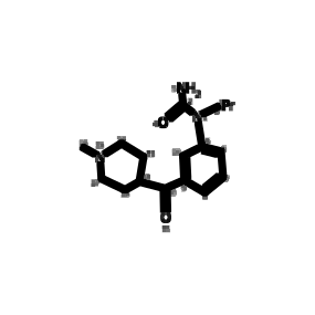 CC(C)N(C(N)=O)c1cccc(C(=O)C2CCN(C)CC2)c1